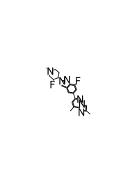 Cc1cn2nc(-c3cc(F)c4nn([C@H]5CCN(C)C[C@H]5F)cc4c3)cc(C)c2n1